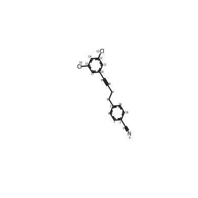 N#Cc1ccc(CCC#Cc2cc(Cl)cc(Cl)c2)cc1